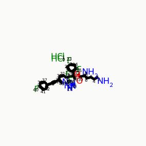 Cl.Cl.NCCCC[C@H](N)C(=O)OC(Cn1cnnn1)(c1ccc(F)cc1F)C(F)(F)c1ccc(C#Cc2ccc(F)cc2)cn1